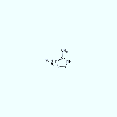 Cc1ncc[nH]1.[SiH4].[W]